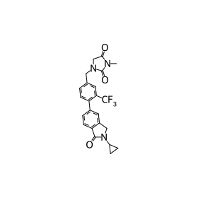 CN1C(=O)CN(Cc2ccc(-c3ccc4c(c3)CN(C3CC3)C4=O)c(C(F)(F)F)c2)C1=O